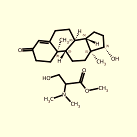 COC(=O)C(CO)N(C)C.C[C@]12CC[C@H]3[C@@H](CCC4=CC(=O)CC[C@@]43C)[C@@H]1CC[C@@H]2O